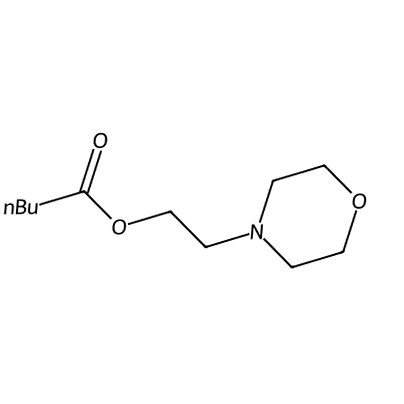 CCCCC(=O)OCCN1CCOCC1